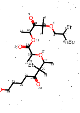 CCCCC(CC)COC(C)(C)C(=O)C(C)OC(=O)C(C)OC(C)C(C)(CC)C(=O)CCCCOC(C)C